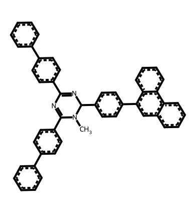 CN1C(c2ccc(-c3ccccc3)cc2)=NC(c2ccc(-c3ccccc3)cc2)=NC1c1ccc(-c2cc3ccccc3c3ccccc23)cc1